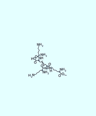 CCOC(=O)[C@@H](N)CCCCNC(=O)[C@H](CSSC[C@H](NC(=O)[C@@H](N)CCCCN)C(=O)O)NC(=O)[C@@H](N)CCCCN